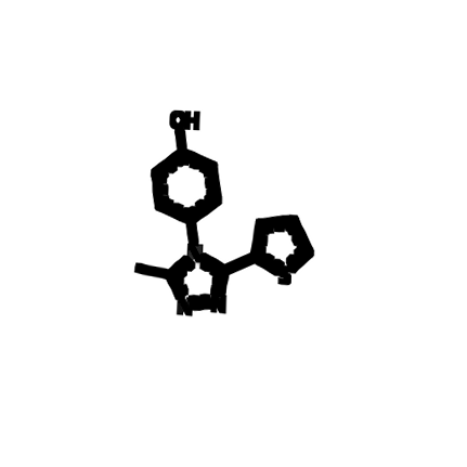 Cc1nnc(-c2cccs2)n1-c1ccc(O)cc1